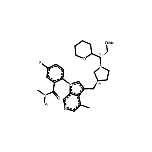 COC[C@@H](C1CCCCO1)N1CC[C@@H](Cc2cn(-c3ccc(F)cc3C(=O)N(C)C(C)C)c3cncc(C)c23)C1